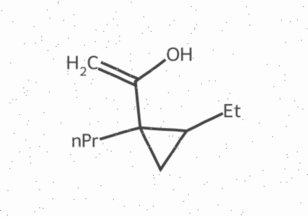 C=C(O)C1(CCC)CC1CC